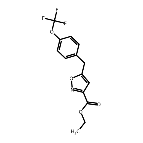 CCOC(=O)c1cc(Cc2ccc(OC(F)(F)F)cc2)on1